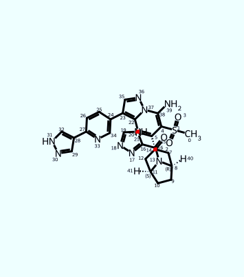 CS(=O)(=O)c1c([C@@H]2C[C@H]3CC[C@@H](C2)N3C(=O)c2nnc[nH]2)nc2c(-c3ccc(-c4cn[nH]c4)nc3)cnn2c1N